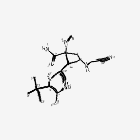 COC1(C(N)=O)CC(NC#N)C1c1nc(Cl)c(C(C)(C)C)s1